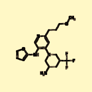 COCCCc1cc(N2CC(N)CC(C(F)(F)F)C2)c(Nc2ccco2)cn1